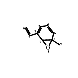 C=CC1=CC=CC2(C)OC12